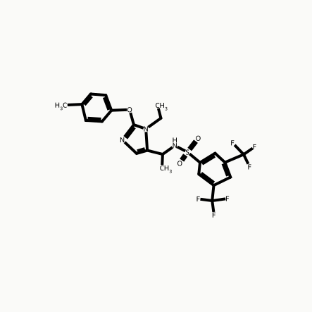 CCn1c(C(C)NS(=O)(=O)c2cc(C(F)(F)F)cc(C(F)(F)F)c2)cnc1Oc1ccc(C)cc1